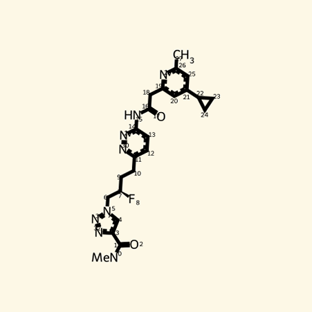 CNC(=O)c1cn(C[C@H](F)CCc2ccc(NC(=O)Cc3cc(C4CC4)cc(C)n3)nn2)nn1